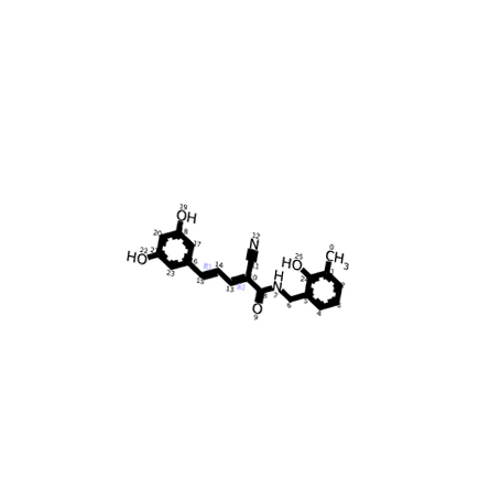 Cc1cccc(CNC(=O)/C(C#N)=C/C=C/c2cc(O)cc(O)c2)c1O